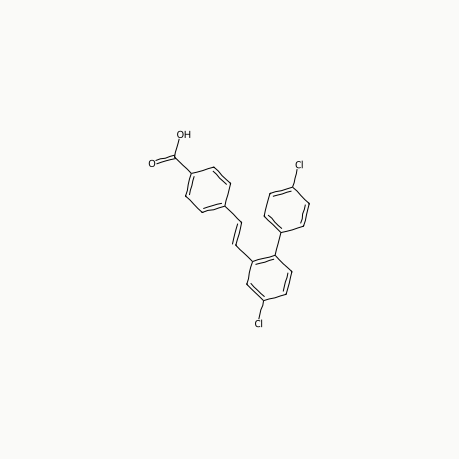 O=C(O)c1ccc(C=Cc2cc(Cl)ccc2-c2ccc(Cl)cc2)cc1